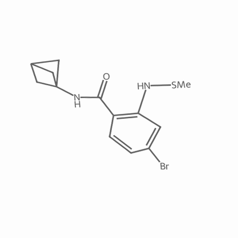 CSNc1cc(Br)ccc1C(=O)NC12CC(C1)C2